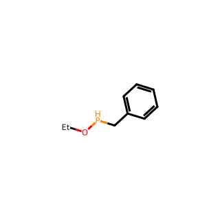 CCOPCc1ccccc1